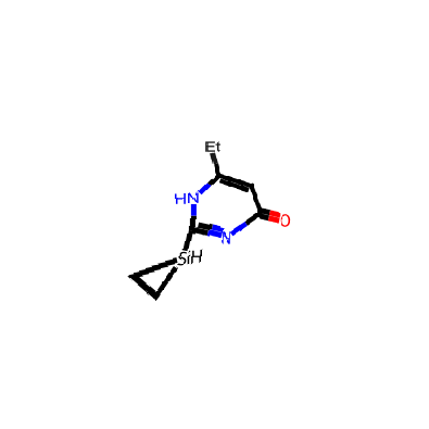 CCc1cc(=O)nc([SiH]2CC2)[nH]1